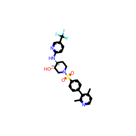 Cc1ccnc(C)c1-c1ccc(S(=O)(=O)N2CC[C@@H](Nc3ccc(C(F)(F)F)cn3)[C@@H](O)C2)cc1